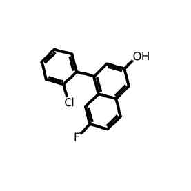 Oc1cc(-c2ccccc2Cl)c2cc(F)ccc2c1